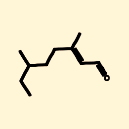 CCC(C)CCC(C)=CC=O